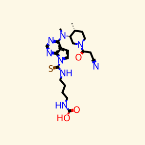 C[C@@H]1CCN(C(=O)CC#N)C[C@@H]1N(C)c1ncnc2c1ccn2C(=S)NCCCCNC(=O)O